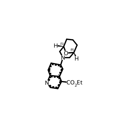 CCOC(=O)c1ccnc2ccc(N3C[C@H]4CCC[C@@H](C3)O4)cc12